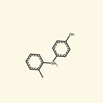 Cc1ccccc1[SiH2]c1ccc(O)cc1